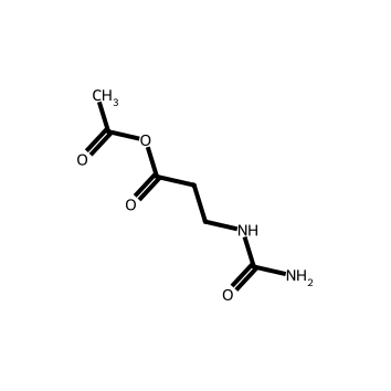 CC(=O)OC(=O)CCNC(N)=O